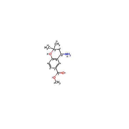 COC(=O)c1ccc2c(c1)C(N)CC(C)(C)O2